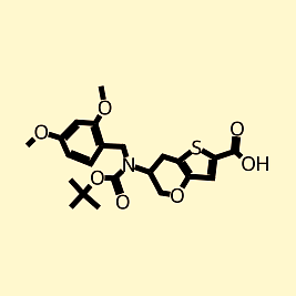 COc1ccc(CN(C(=O)OC(C)(C)C)C2COc3cc(C(=O)O)sc3C2)c(OC)c1